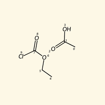 CC(=O)O.CCOC(=O)Cl